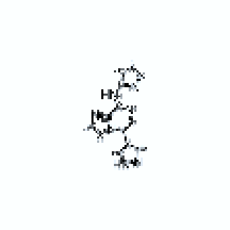 c1csc(Nc2ncc(-c3cn[nH]c3)n3ccnc23)n1